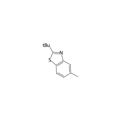 Cc1ccc2sc(C(C)(C)C)nc2c1